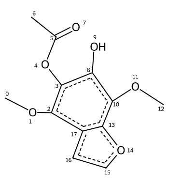 COc1c(OC(C)=O)c(O)c(OC)c2occc12